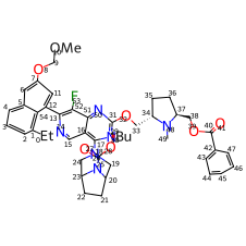 CCc1cccc2cc(OCOC)cc(-c3ncc4c(N5CC6CCC(C5)N6C(=O)OC(C)(C)C)nc(OC[C@@H]5CC[C@@H](COC(=O)c6ccccc6)N5C)nc4c3F)c12